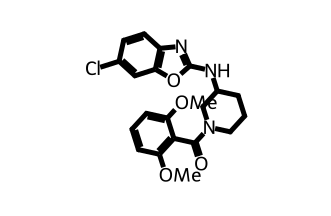 COc1cccc(OC)c1C(=O)N1CCCC(Nc2nc3ccc(Cl)cc3o2)C1